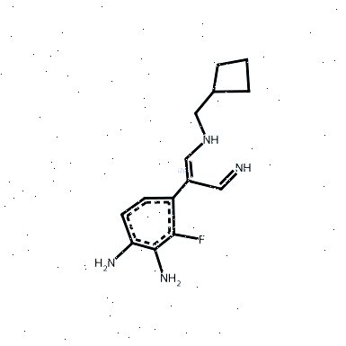 N=C/C(=C\NCC1CCC1)c1ccc(N)c(N)c1F